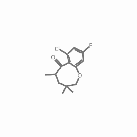 CC1CC(C)(C)COc2cc(F)cc(Cl)c2C1=O